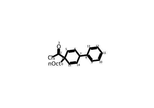 CCCCCCCCC1(C(=O)Cl)C=CC(c2ccccc2)C=C1